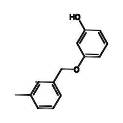 Cc1[c]c(COc2cccc(O)c2)ccc1